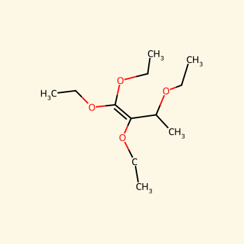 CCOC(OCC)=C(OCC)C(C)OCC